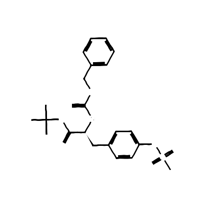 CC(C)(C)OC(=O)[C@H](Cc1ccc(OS(C)(=O)=O)cc1)NC(=O)OCc1ccccc1